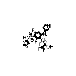 CN(c1cc(F)c(S(=O)(=O)Nc2cscn2)c(F)c1Cl)C1CCNC1.O=C(O)C(F)(F)F